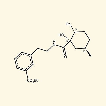 CCOC(=O)c1cccc(CCNC(=O)[C@]2(O)C[C@H](C)CC[C@H]2C(C)C)c1